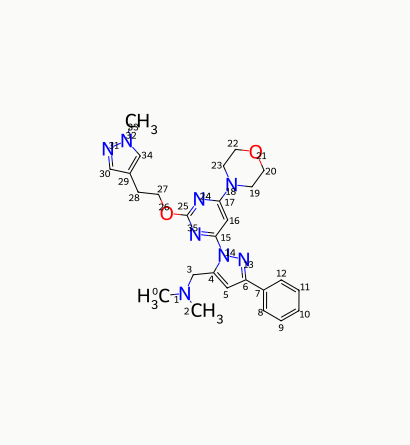 CN(C)Cc1cc(-c2ccccc2)nn1-c1cc(N2CCOCC2)nc(OCCc2cnn(C)c2)n1